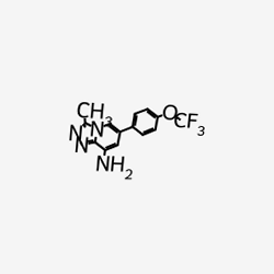 Cc1nnc2c(N)cc(-c3ccc(OC(F)(F)F)cc3)cn12